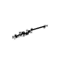 NN[C@@H](CCCCNC(=O)CC[C@H](NC(=O)CC[C@H](NC(=O)[C@H]1CC[C@H](CNC(=O)CCCCCCCCCCCCCCCCC(=O)O)CC1)C(=O)O)C(=O)O)C(=O)O